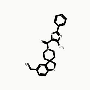 Cc1nc(-c2ccccc2)sc1C(=O)N1CCC2(CC1)COc1ccc(CN)cc12